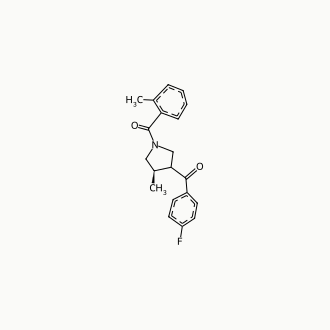 Cc1ccccc1C(=O)N1CC(C(=O)c2ccc(F)cc2)[C@@H](C)C1